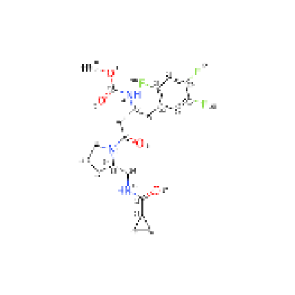 CC(C)(C)OC(=O)N[C@@H](CC(=O)N1CCC[C@H]1CNC(=O)C1CC1)Cc1cc(F)c(F)cc1F